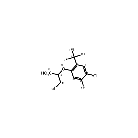 CCC(F)(F)c1cc(Cl)c(F)cc1OC(CF)C(=O)O